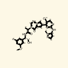 COc1cc(F)cc([C@@H](CO)NC(=O)C(C)n2cnn3cc(-c4nc(Nc5ccnn5C)ncc4Cl)cc3c2=O)c1